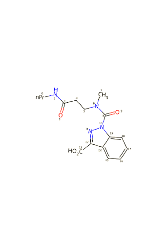 CCCNC(=O)CCN(C)C(=O)n1nc(C(=O)O)c2ccccc21